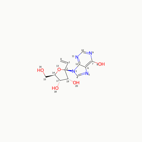 C=C[C@@]1(n2cnc3c(O)ncnc32)O[C@H](CO)[C@@H](O)[C@H]1O